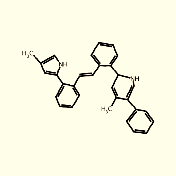 CC1=CC(c2ccccc2/C=C/c2ccccc2-c2cc(C)c[nH]2)NC=C1c1ccccc1